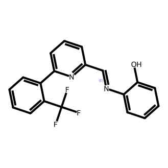 Oc1ccccc1/N=C/c1cccc(-c2ccccc2C(F)(F)F)n1